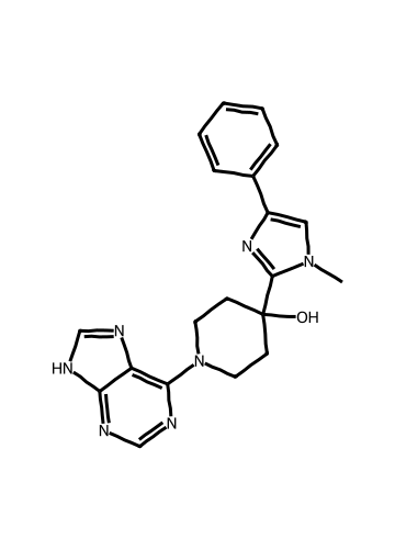 Cn1cc(-c2ccccc2)nc1C1(O)CCN(c2ncnc3[nH]cnc23)CC1